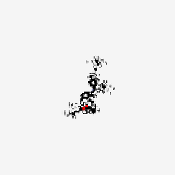 CCCC[C@H](NC(=O)/C=C(\C)c1ccc(C(F)(F)P(=O)(OCOC(=O)C(C)(C)C)OCOC(=O)C(C)(C)C)cc1)C(=O)N1C[C@H]2C[C@H]2C1C(=O)NC(CCC(N)=O)[C@@H](C)OCc1ccccc1